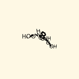 O=C(NCCOCCO)c1ccccc1C(=O)NCCOCCO